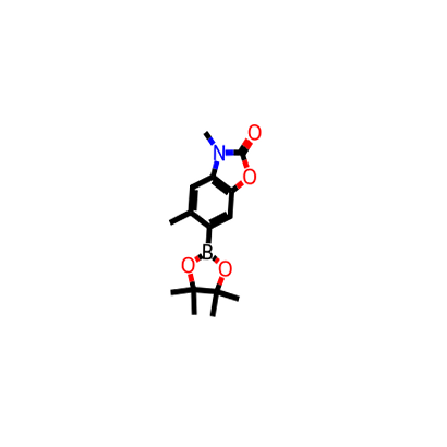 Cc1cc2c(cc1B1OC(C)(C)C(C)(C)O1)oc(=O)n2C